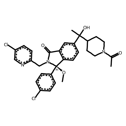 CO[C@]1(c2ccc(Cl)cc2)c2ccc(C(C)(O)C3CCN(C(C)=O)CC3)cc2C(=O)N1Cc1ccc(Cl)cn1